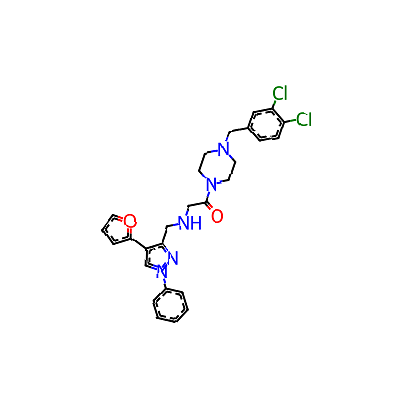 O=C(CNCc1nn(-c2ccccc2)cc1-c1ccco1)N1CCN(Cc2ccc(Cl)c(Cl)c2)CC1